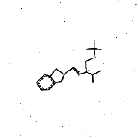 CC(C)[C@H](COC(C)(C)C)N=CN1Cc2ccccc2C1